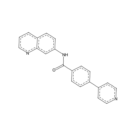 O=C(Nc1ccc2cccnc2c1)c1ccc(-c2ccncc2)cc1